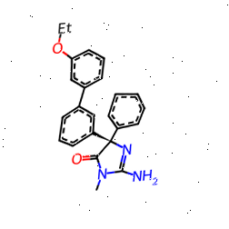 CCOc1cccc(-c2cccc([C@@]3(c4ccccc4)N=C(N)N(C)C3=O)c2)c1